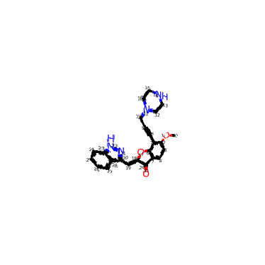 COc1ccc2c(c1C#CCN1CCNCC1)OC(=Cc1n[nH]c3ccccc13)C2=O